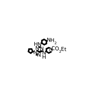 CCOC(=O)N1CCC(Nc2nc(NC3CCC(N)CC3)nc3c2ncn3C2CCCC2)CC1